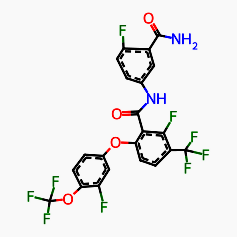 NC(=O)c1cc(NC(=O)c2c(Oc3ccc(OC(F)(F)F)c(F)c3)ccc(C(F)(F)F)c2F)ccc1F